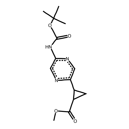 COC(=O)C1CC1c1cnc(NC(=O)OC(C)(C)C)cn1